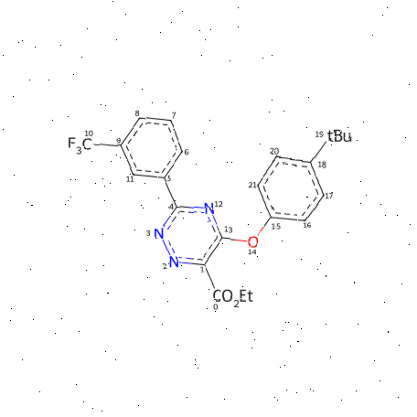 CCOC(=O)c1nnc(-c2cccc(C(F)(F)F)c2)nc1Oc1ccc(C(C)(C)C)cc1